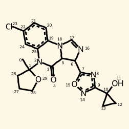 CC1(N2C(=O)C3C(c4nc(C5(O)CC5)no4)N=CN3c3ccc(Cl)cc32)CCCO1